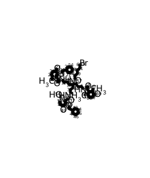 Cc1c(C(=O)NCCCC(CCCNC(=O)c2c(OCc3ccccc3)c(=O)ccn2C)(CCCNC(=O)c2c(OCc3ccccc3)c(=O)ccn2CO)NC(=O)CCCCCBr)n(C)ccc1=O